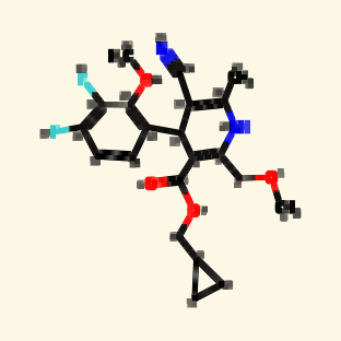 COCC1=C(C(=O)OCC2CC2)C(c2ccc(F)c(F)c2OC)C(C#N)=C(C)N1